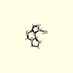 CCn1ncc2c1C1=NCCN1C=N2